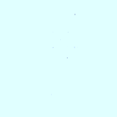 CC(C(=O)O)(c1cccc(Oc2ccc(C(=O)O)c(C(=O)O)c2)c1)C(C(=O)O)(C(=O)O)C(=O)O